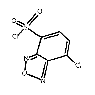 O=S(=O)(Cl)c1ccc(Cl)c2nonc12